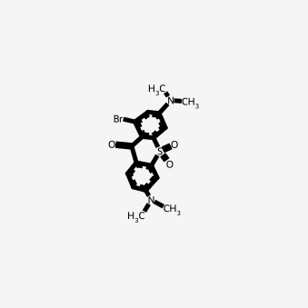 CN(C)c1ccc2c(c1)S(=O)(=O)c1cc(N(C)C)cc(Br)c1C2=O